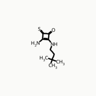 CC(C)(C)CCNc1c(N)c(=S)c1=O